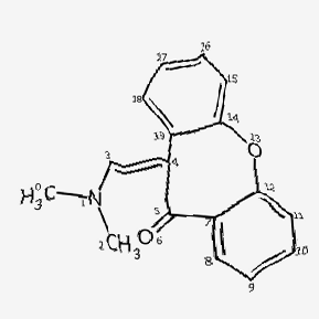 CN(C)C=C1C(=O)c2ccccc2Oc2ccccc21